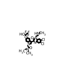 CCN(CC)C(=O)Cn1cc(-c2nc3cc(Cl)c(Cl)cc3n(CCNC)c2=O)c2ccccc21.O=C(O)C(F)(F)F